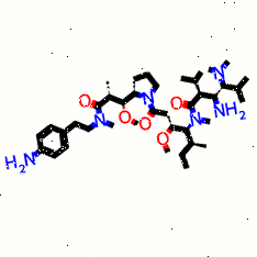 CC[C@H](C)[C@@H]([C@@H](CC(=O)N1CCC[C@H]1[C@H](OC)[C@@H](C)C(=O)N(C)CCc1ccc(N)cc1)OC)N(C)C(=O)[C@@H](C(C)C)C(N)[C@@H](C(C)C)N(C)C